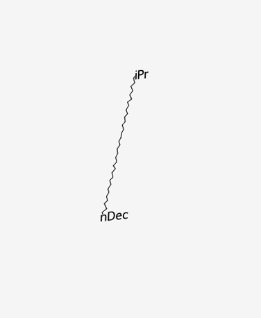 [CH2]CCCCCCCCCCCCCCCCCCCCCCCCCCCCCCCCCCCCCCCCCCCCC(C)C